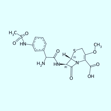 COC1=C(C(=O)O)N2C(=O)[C@@H](NC(=O)C(N)c3cccc(NS(C)(=O)=O)c3)[C@@H]2SC1